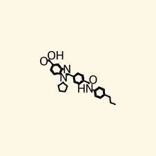 CCCc1ccc(NC(=O)c2ccc(-c3nc4cc(C(=O)O)ccc4n3C3CCCC3)cc2)cc1